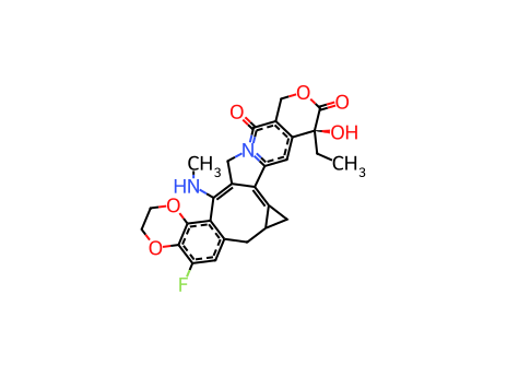 CC[C@@]1(O)C(=O)OCc2c1cc1n(c2=O)CC2=C(\NC)c3c(cc(F)c4c3OCCO4)CC3C\C3=C\21